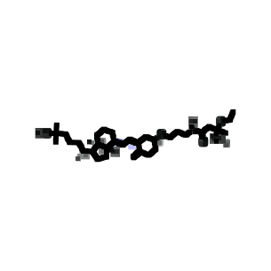 C=C1CC[C@H](OCCCNC(=O)CC(C)(N)OCC)C/C1=C/C=C1\CCC[C@]2(C)C([C@H](C)CCCC(C)(C)O)CC[C@@H]12